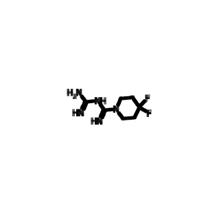 N=C(N)NC(=N)N1CCC(F)(F)CC1